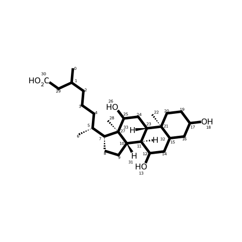 CC(CCC[C@@H](C)[C@H]1CC[C@H]2[C@@H]3C(O)CC4CC(O)CC[C@]4(C)[C@H]3CC(O)[C@]12C)CC(=O)O